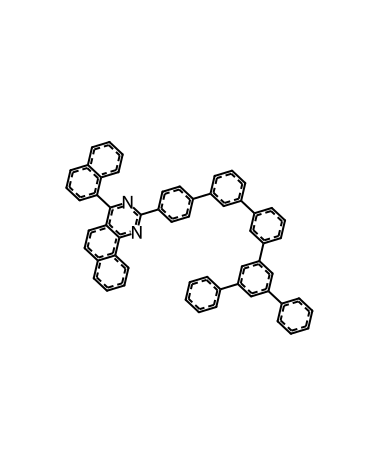 c1ccc(-c2cc(-c3ccccc3)cc(-c3cccc(-c4cccc(-c5ccc(-c6nc(-c7cccc8ccccc78)c7ccc8ccccc8c7n6)cc5)c4)c3)c2)cc1